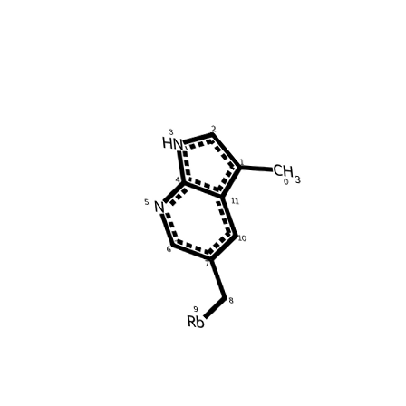 Cc1c[nH]c2ncc([CH2][Rb])cc12